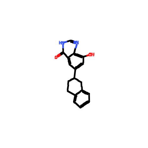 O=c1[nH]cnc2c(O)cc(C3CCc4ccccc4C3)cc12